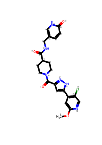 COc1cc(-c2cc(C(=O)N3CCC(C(=O)NCc4ccc(=O)[nH]c4)CC3)n[nH]2)c(Cl)cn1